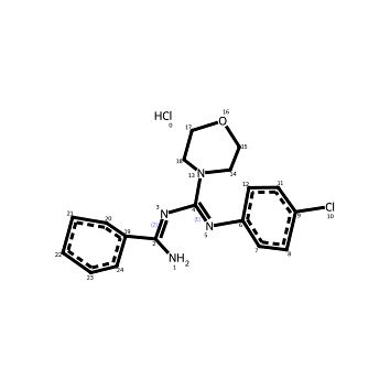 Cl.N/C(=N\C(=N\c1ccc(Cl)cc1)N1CCOCC1)c1ccccc1